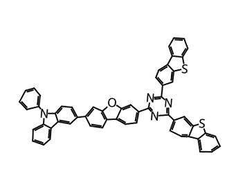 c1ccc(-n2c3ccccc3c3cc(-c4ccc5c(c4)oc4cc(-c6nc(-c7ccc8c(c7)sc7ccccc78)nc(-c7ccc8c(c7)sc7ccccc78)n6)ccc45)ccc32)cc1